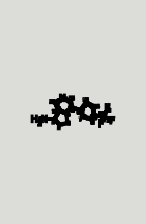 NC1CCc2c(-c3ccc(C(F)(F)F)cc3)cncc21